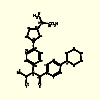 CCC(CC)N(C(=O)c1ccc(C2CCCCC2)cc1)c1ccc(N2CCC(N(C)C(=O)O)C2)nc1